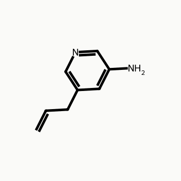 C=CCc1cncc(N)c1